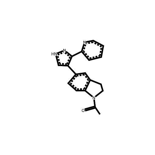 CC(=O)N1CCc2cc(-c3c[nH]nc3-c3ccccn3)ccc21